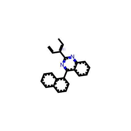 C=C/C(=C\C)c1nc(-c2cccc3ccccc23)c2ccccc2n1